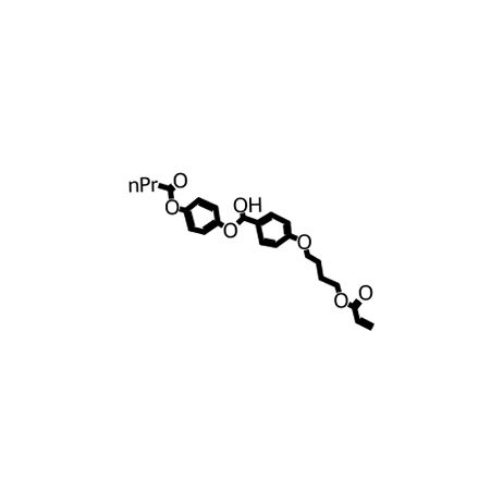 C=CC(=O)OCCCCOc1ccc(C(O)Oc2ccc(OC(=O)CCC)cc2)cc1